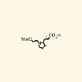 COCCN1CCCC1/C=C/C(=O)O